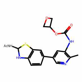 CC(=O)NC1Nc2ccc(-c3cnc(C)c(NC(=O)OC4COC4)c3)cc2S1